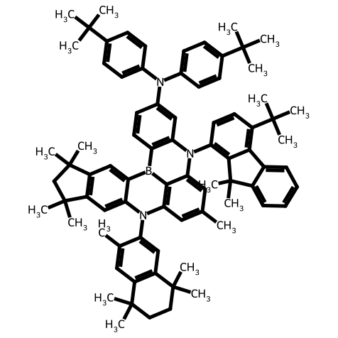 Cc1cc2c3c(c1)N(c1ccc(C(C)(C)C)c4c1C(C)(C)c1ccccc1-4)c1cc(N(c4ccc(C(C)(C)C)cc4)c4ccc(C(C)(C)C)cc4)ccc1B3c1cc3c(cc1N2c1cc2c(cc1C)C(C)(C)CCC2(C)C)C(C)(C)CC3(C)C